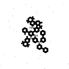 Cc1ccccc1-c1cc(-c2ccc3c(c2Nc2ccc4c(c2)C(C)(C)CCC4(C)C)-c2cccc(C)c2C3(C)C)c2c(c1)N(c1cc3c(cc1C)C(C)(C)CCC3(C)C)c1ccc(N(c3cccc(-c4ccccc4)c3)c3cccc(-c4ccccc4)c3)cc1B2